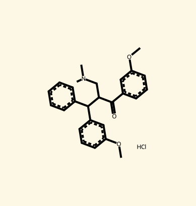 COc1cccc(C(=O)C(CN(C)C)C(c2ccccc2)c2cccc(OC)c2)c1.Cl